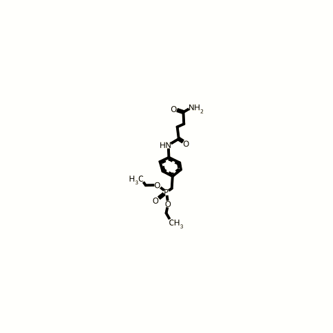 CCOP(=O)(Cc1ccc(NC(=O)CCC(N)=O)cc1)OCC